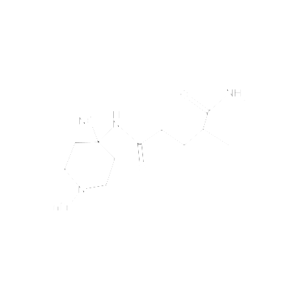 CCCN1CCC(C#N)(NC(=O)[CH]CC(C)C(N)=O)CC1